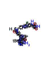 CN(CCC1CCC(N2CCN(c3ccc(NC4CCC(=O)NC4=O)cc3F)CC2)CC1)C(=O)N1CCC(c2cnc(-c3c(-c4nn(C(C)(C)C)c5ncnc(N)c45)noc3C3CC3)nc2)CC1